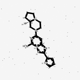 Nc1nc(N2CCN3CCC[C@@H]3C2)cc2nc(-c3ccco3)nn12